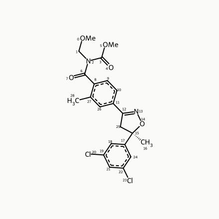 COCN(C(=O)OC)C(=O)c1ccc(C2=NO[C@@](C)(c3cc(Cl)cc(Cl)c3)C2)cc1C